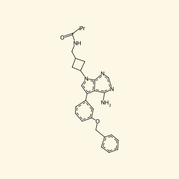 CC(C)C(=O)NCC1CC(n2cc(-c3cccc(OCc4ccccc4)c3)c3c(N)ncnc32)C1